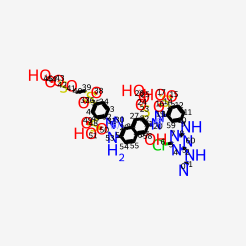 N#CNc1nc(Cl)nc(Nc2ccc(S(=O)(=O)O)c(/N=N/c3c(SOOO)cc4c(/N=N/c5ccc(S(=O)(=O)CCOSOOO)cc5S(=O)(=O)O)c(N)ccc4c3O)c2)n1